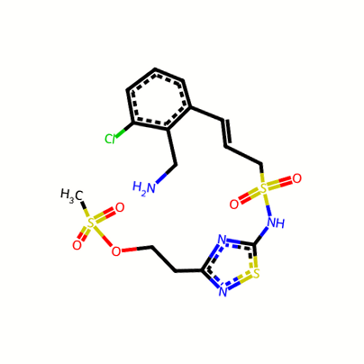 CS(=O)(=O)OCCc1nsc(NS(=O)(=O)CC=Cc2cccc(Cl)c2CN)n1